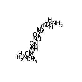 CC(C)(N)C(=O)N1CCN(C(=O)Nc2ccn(-c3ccc(CN4C[C@@H]5C(N)[C@@H]5C4)nc3)c(=O)n2)CC1